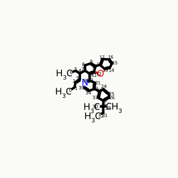 CCC=CC(CC)C1CC=c2c(oc3ccccc23)=C1c1cc(-c2cccc(C(C)(C)CC)c2)ccn1